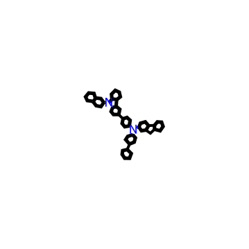 c1ccc(-c2ccc(N(c3ccc(-c4ccc5c(c4)c4ccccc4n5-c4ccc5ccccc5c4)cc3)c3ccc4c(c3)Cc3ccccc3-4)cc2)cc1